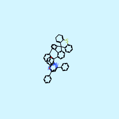 C1=C2Sc3ccccc3C3(C2=CCC1)c1cccc(-c2cccc(-c4nc(-c5ccccc5)cc(-c5ccccc5)n4)c2)c1-c1c(-c2cccc4cccnc24)cccc13